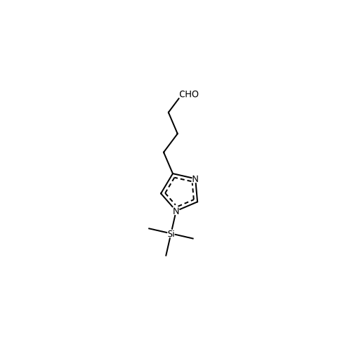 C[Si](C)(C)n1cnc(CCCC=O)c1